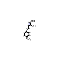 O=[N+]([O-])c1ccc(OCC/C(O)=C/O)cc1